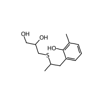 Cc1cccc(CC(C)SCC(O)CO)c1O